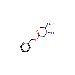 CCN(CC(=O)OCc1ccccc1)[C@@H](C)C(=O)O